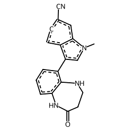 Cn1cc(-c2cccc3c2NCCC(=O)N3)c2ccc(C#N)cc21